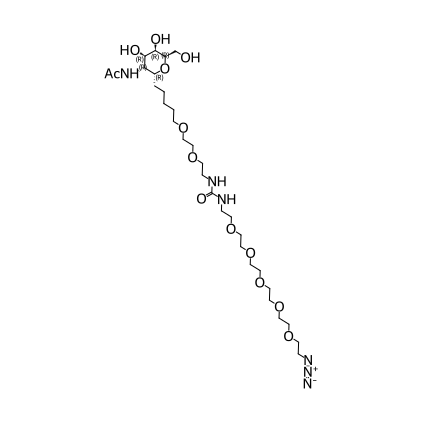 CC(=O)N[C@@H]1[C@@H](O)[C@@H](O)[C@@H](CO)O[C@@H]1CCCCCOCCOCCNC(=O)NCCOCCOCCOCCOCCOCCN=[N+]=[N-]